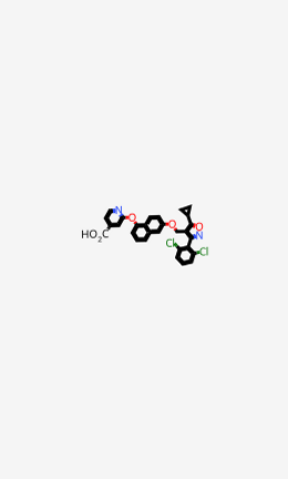 O=C(O)c1ccnc(Oc2cccc3cc(OCc4c(-c5c(Cl)cccc5Cl)noc4C4CC4)ccc23)c1